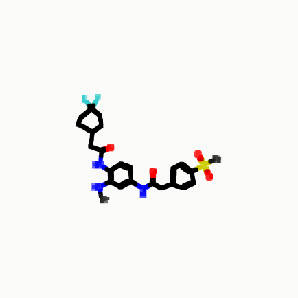 CCS(=O)(=O)c1ccc(CC(=O)Nc2ccc(NC(=O)CC3CCC(F)(F)CC3)c(NC(C)C)c2)cc1